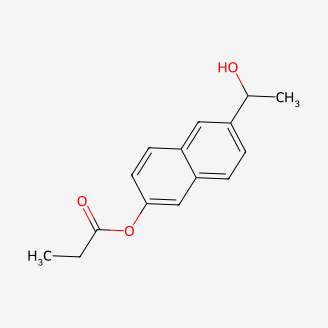 CCC(=O)Oc1ccc2cc(C(C)O)ccc2c1